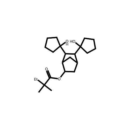 CCC(C)(C)C(=O)OC1CC2CC1C(C1(O)CCCC1)C2C1(O)CCCC1